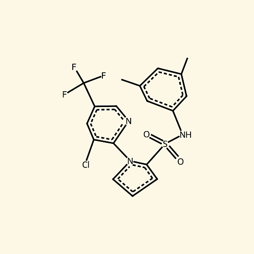 Cc1cc(C)cc(NS(=O)(=O)c2cccn2-c2ncc(C(F)(F)F)cc2Cl)c1